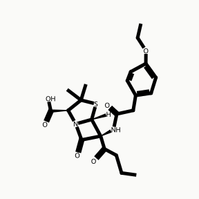 CCCC(=O)[C@]1(NC(=O)Cc2ccc(OCC)cc2)C(=O)N2[C@@H](C(=O)O)C(C)(C)S[C@@H]21